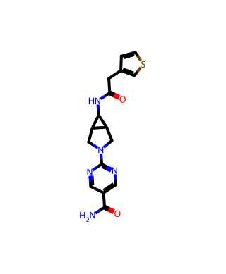 NC(=O)c1cnc(N2CC3C(C2)C3NC(=O)Cc2ccsc2)nc1